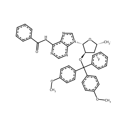 [CH2][C@H]1O[C@@H](n2cnc3c(NC(=O)c4ccccc4)ncnc32)[C@H](OC(c2ccccc2)(c2ccc(OC)cc2)c2ccc(OC)cc2)[C@H]1F